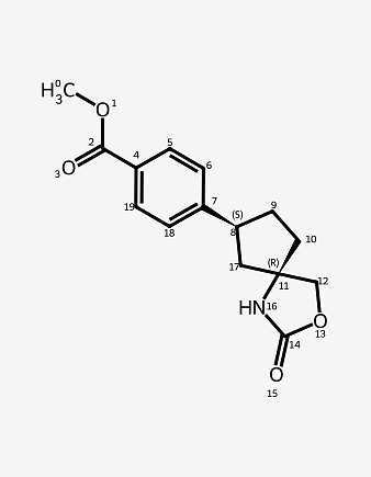 COC(=O)c1ccc([C@H]2CC[C@]3(COC(=O)N3)C2)cc1